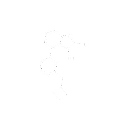 Nc1oc2cncc(-c3cccc(CC4CCC4)c3)c2c1N